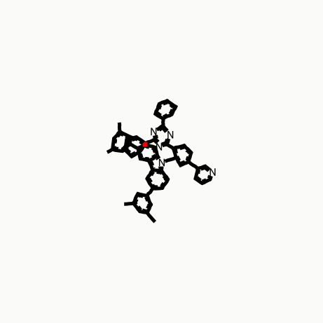 Cc1cc(C)cc(-c2ccc3c(c2)c2cc(-c4cc(C)cc(C)c4)ccc2n3-c2cc(-c3cccnc3)ccc2-c2nc(-c3ccccc3)nc(-c3ccccc3)n2)c1